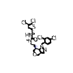 CN(C/C=C1\COCc2cnn(Cc3ccc(Cl)cc3Cl)c21)C(=O)NSc1cc(Cl)c(Cl)s1